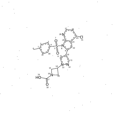 Cc1ccc(S(=O)(=O)n2c(-c3cnn(C4CN(C(=O)O)C4)c3)cc3c(Cl)ccnc32)cc1